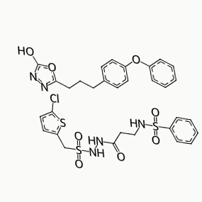 O=C(CCNS(=O)(=O)c1ccccc1)NNS(=O)(=O)Cc1ccc(Cl)s1.Oc1nnc(CCCc2ccc(Oc3ccccc3)cc2)o1